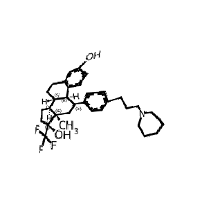 C[C@]12C[C@H](c3ccc(CCCN4CCCCC4)cc3)[C@@H]3c4ccc(O)cc4CC[C@H]3[C@@H]1CC[C@@]2(O)C(F)(F)F